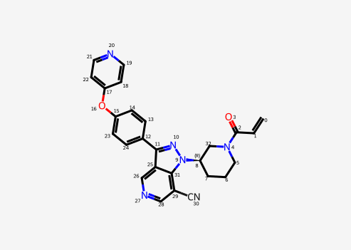 C=CC(=O)N1CCC[C@@H](n2nc(-c3ccc(Oc4ccncc4)cc3)c3cncc(C#N)c32)C1